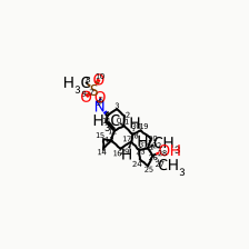 C[C@]12CC/C(=N\OS(C)(=O)=O)C=C1C1(CC1)C[C@@H]1[C@@H]2CC[C@@]2(C)[C@H]1CC[C@]2(C)O